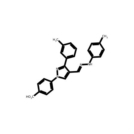 Cc1ccc(N/N=C/c2cn(-c3ccc(C(=O)O)cc3)nc2-c2cccc(C)c2)cc1